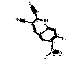 N#CC(=Cc1ccc(F)c([N+](=O)[O-])c1)C(O)C#N